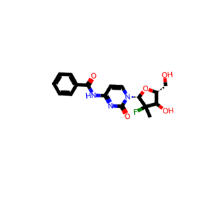 CC1(F)C(O)[C@@H](CO)O[C@H]1n1ccc(NC(=O)c2ccccc2)nc1=O